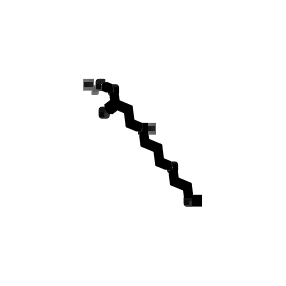 COC(=O)CCNCCCOCCO